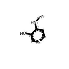 CCCNc1ccncc1O